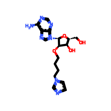 Nc1ncnc2c1ncn2[C@@H]1O[C@H](CO)[C@@H](O)[C@H]1OCCCCn1ccnc1